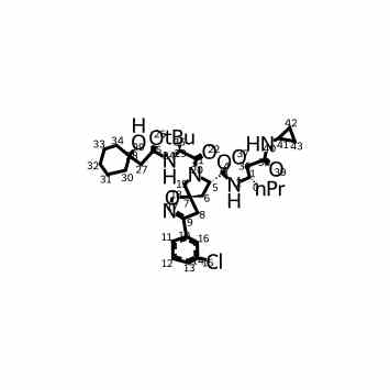 CCC[C@H](NC(=O)[C@@H]1C[C@]2(CC(c3cccc(Cl)c3)=NO2)CN1C(=O)[C@@H](NC(=O)CC1(O)CCCCC1)C(C)(C)C)C(=O)C(=O)NC1CC1